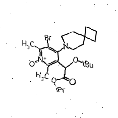 Cc1c(Br)c(N2CCC3(CCC3)CC2)c(C(OC(C)(C)C)C(=O)OC(C)C)c(C)[n+]1[O-]